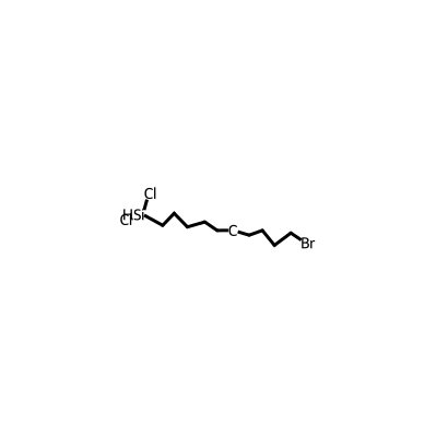 Cl[SiH](Cl)CCCCCCCCCCBr